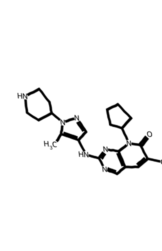 Cc1c(Nc2ncc3cc(C#N)c(=O)n(C4CCCC4)c3n2)cnn1C1CCNCC1